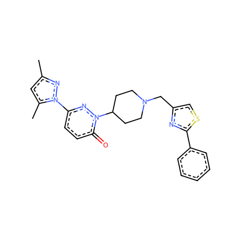 Cc1cc(C)n(-c2ccc(=O)n(C3CCN(Cc4csc(-c5ccccc5)n4)CC3)n2)n1